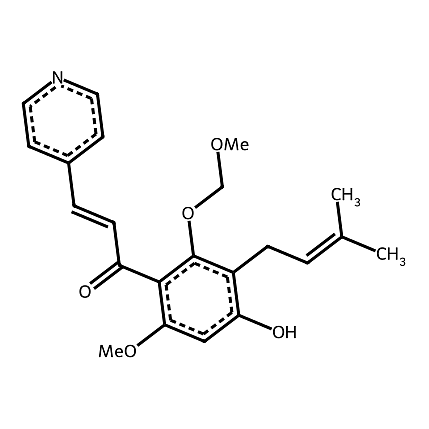 COCOc1c(CC=C(C)C)c(O)cc(OC)c1C(=O)C=Cc1ccncc1